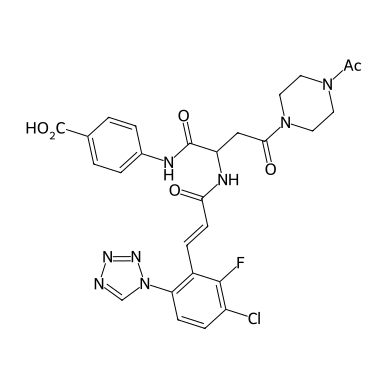 CC(=O)N1CCN(C(=O)CC(NC(=O)C=Cc2c(-n3cnnn3)ccc(Cl)c2F)C(=O)Nc2ccc(C(=O)O)cc2)CC1